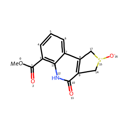 COC(=O)c1cccc2c3c(c(=O)[nH]c12)C[S+]([O-])C3